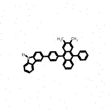 CCn1c2ccccc2c2cc(-c3ccc(-c4c5ccccc5c(-c5ccccc5)c5cc(C)c(C)cc45)cc3)ccc21